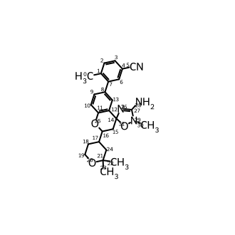 Cc1ccc(C#N)cc1-c1ccc2c(c1)C1(CC(C3CCOC(C)(C)C3)O2)N=C(N)N(C)O1